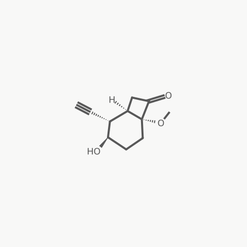 C#C[C@H]1[C@H](O)CC[C@]2(OC)C(=O)C[C@H]12